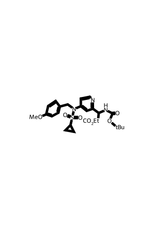 CCOC(=O)C(NC(=O)OC(C)(C)C)c1cc(N(Cc2ccc(OC)cc2)S(=O)(=O)C2CC2)ccn1